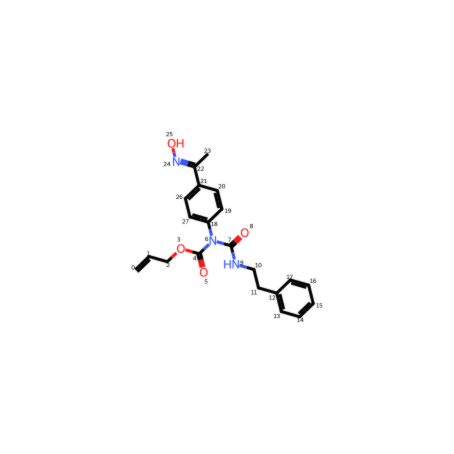 C=CCOC(=O)N(C(=O)NCCc1ccccc1)c1ccc(C(C)=NO)cc1